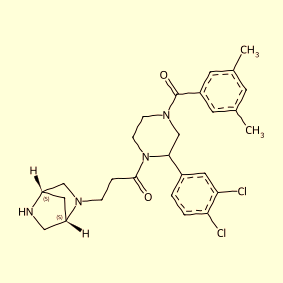 Cc1cc(C)cc(C(=O)N2CCN(C(=O)CCN3C[C@@H]4C[C@H]3CN4)C(c3ccc(Cl)c(Cl)c3)C2)c1